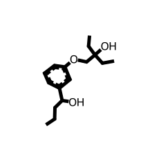 CCCC(O)c1cccc(OCC(O)(CC)CC)c1